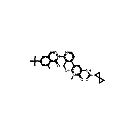 Cn1cc(-c2ccnc(-n3ncc4cc(C(C)(C)C)cc(F)c4c3=O)c2CO)cc(NC(=O)[C@H]2CC23CC3)c1=O